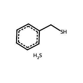 S.SCc1ccccc1